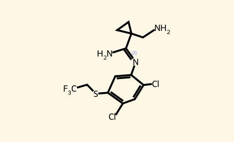 NCC1(/C(N)=N/c2cc(SCC(F)(F)F)c(Cl)cc2Cl)CC1